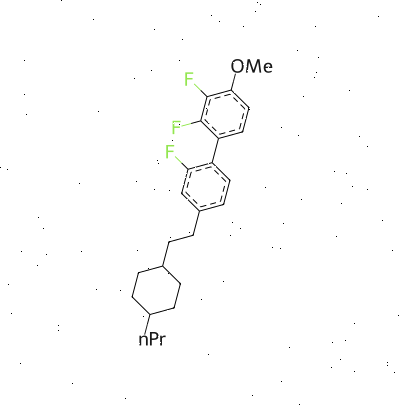 CCCC1CCC(CCc2ccc(-c3ccc(OC)c(F)c3F)c(F)c2)CC1